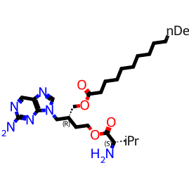 CCCCCCCCCCCCCCCCCCCC(=O)OC[C@H](CCOC(=O)[C@@H](N)C(C)C)Cn1cnc2cnc(N)nc21